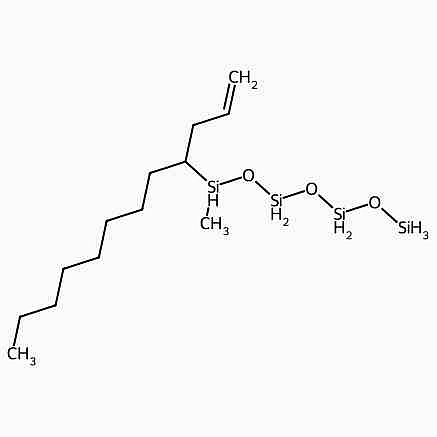 C=CCC(CCCCCCCC)[SiH](C)O[SiH2]O[SiH2]O[SiH3]